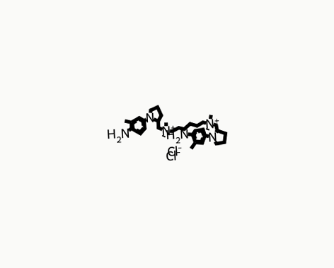 Cc1cc(N2CCCC2C[N+](C)(C)CCCCCC[N+](C)(C)CC2CCCN2c2ccc(N)c(C)c2)ccc1N.[Cl-].[Cl-]